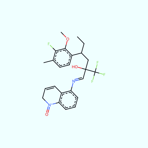 CCC(CC(O)(C=Nc1cccc2c1C=CC[N+]2=O)C(F)(F)F)c1ccc(C)c(F)c1OC